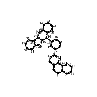 c1cc(-c2ccc3ccc4cccnc4c3n2)cc(-c2c3ccccc3nc3c2sc2ccccc23)c1